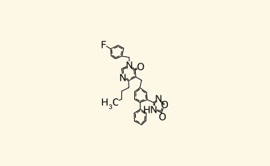 CCCCc1ncn(Cc2ccc(F)cc2)c(=O)c1Cc1ccc(-c2ccccc2)c(-c2noc(=O)[nH]2)c1